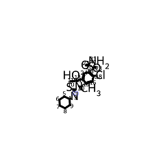 CN1/C(=N/C2CCCCC2)SCC1(O)c1ccc(Cl)c(S(N)(=O)=O)c1